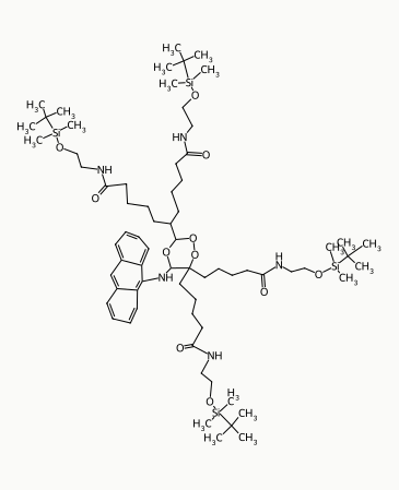 CC(C)(C)[Si](C)(C)OCCNC(=O)CCCCC(CCCCC(=O)NCCO[Si](C)(C)C(C)(C)C)C1OOC(CCCCC(=O)NCCO[Si](C)(C)C(C)(C)C)(CCCCC(=O)NCCO[Si](C)(C)C(C)(C)C)C(Nc2c3ccccc3cc3ccccc23)O1